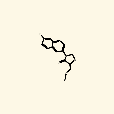 COCC1OCN(c2ccc3cc(O)ccc3c2)C1=O